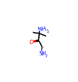 CC(C)(N)C(=O)[CH]N